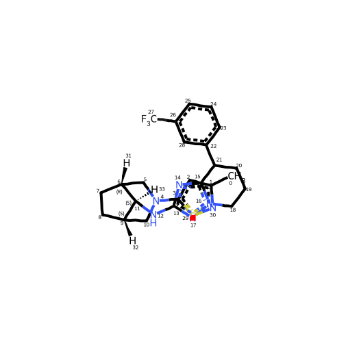 Cc1cc(N2C[C@H]3CC[C@@H](C2)[C@@H]3Nc2nc3n(n2)CCCC3c2cccc(C(F)(F)F)c2)sn1